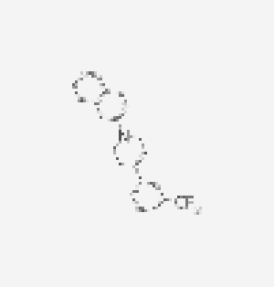 FC(F)(F)c1cccc(C2=CCN(c3ccc4ccccc4c3)CC2)c1